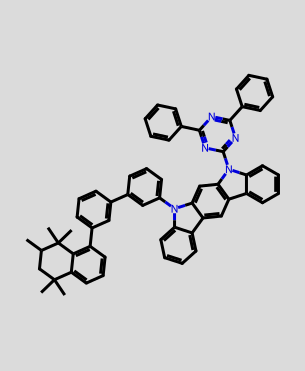 CC1CC(C)(C)c2cccc(-c3cccc(-c4cccc(-n5c6ccccc6c6cc7c8ccccc8n(-c8nc(-c9ccccc9)nc(-c9ccccc9)n8)c7cc65)c4)c3)c2C1(C)C